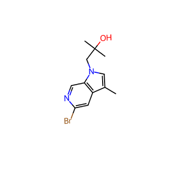 Cc1cn(CC(C)(C)O)c2cnc(Br)cc12